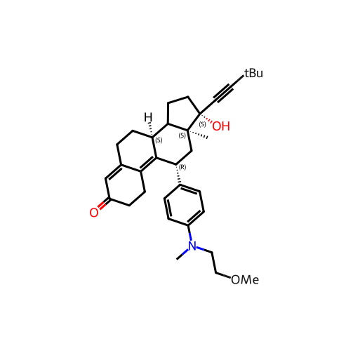 COCCN(C)c1ccc([C@H]2C[C@@]3(C)C(CC[C@@]3(O)C#CC(C)(C)C)[C@@H]3CCC4=CC(=O)CCC4=C32)cc1